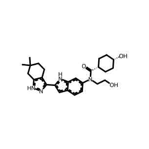 CC1(C)CCc2c(-c3cc4ccc(N(CCO)C(=O)[C@H]5CC[C@@H](O)CC5)cc4[nH]3)n[nH]c2C1